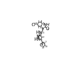 O=C1Nc2ccc(Cl)cc2/C1=C\Nc1cc(-c2ccco2)[nH]n1